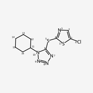 Clc1cnc(Sc2nnnn2C2CCCCC2)s1